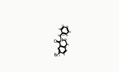 O=C1c2cc(Br)ccc2CCN1Cc1ccccc1